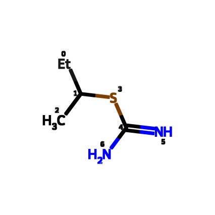 CCC(C)SC(=N)N